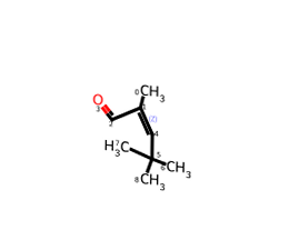 C/C(C=O)=C/C(C)(C)C